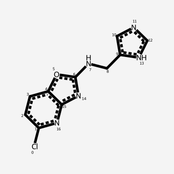 Clc1ccc2oc(NCc3cnc[nH]3)nc2n1